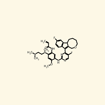 C=CC(=O)Nc1cc(Nc2ncc(F)c(C3=C4COCCCCC4c4cc(F)ccc43)n2)c(OC)cc1N(C)CCN(C)C